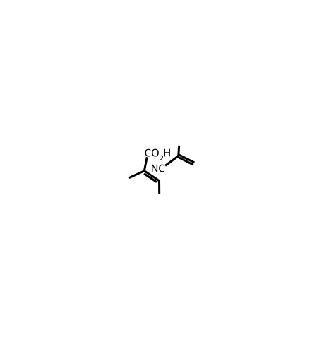 C=C(C)C#N.CC=C(C)C(=O)O